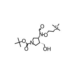 CC(C)(C)OC(=O)N1C[C@@H](CO)[C@H](N(C=O)OCC[Si](C)(C)C)C1